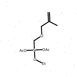 C=C(C)COC[Si](OCC)(OC(C)=O)OC(C)=O